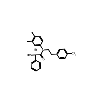 CC[C@](O)(C(=O)N(CCc1ccc(C(F)(F)F)cc1)c1ccc(C)c(C)c1)c1ccccc1